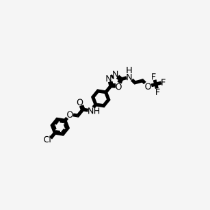 O=C(COc1ccc(Cl)cc1)NC1CCC(c2nnc(NCCOC(F)(F)F)o2)CC1